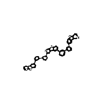 c1cc(-c2cccc(-c3cc4c(cn3)sc3ccc(-c5cccc(-c6cccc(-c7ccc8oc9ccncc9c8c7)c6)c5)cc34)c2)cc(-c2ccc3oc4ccccc4c3c2)c1